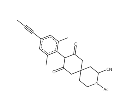 CC#Cc1cc(C)c(C2C(=O)CC3(CCN(C(C)=O)C(C#N)C3)CC2=O)c(C)c1